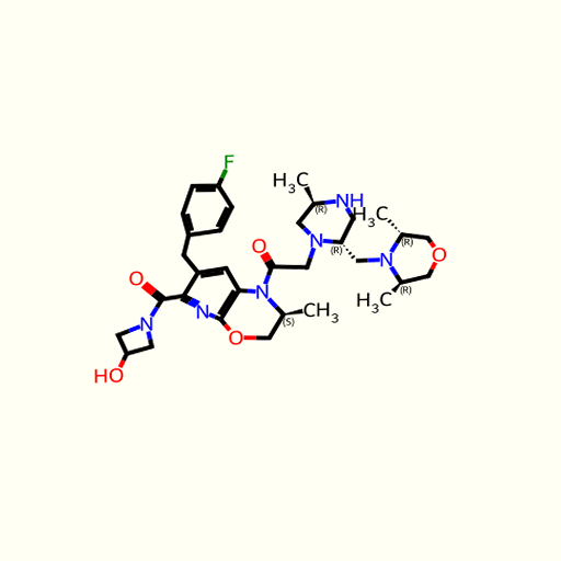 C[C@@H]1CN(CC(=O)N2c3cc(Cc4ccc(F)cc4)c(C(=O)N4CC(O)C4)nc3OC[C@@H]2C)[C@@H](CN2[C@H](C)COC[C@H]2C)CN1